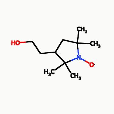 CC1(C)CC(CCO)C(C)(C)N1[O]